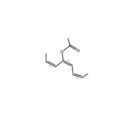 C\C=C/C=C(\C=C/C)OC(C)=O